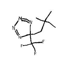 CC(C)(C)CC1(C(F)(F)F)N=NN=N1